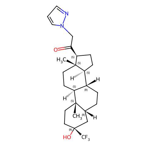 C[C@]12CC[C@](O)(C(F)(F)F)C[C@H]1CC[C@@H]1[C@@H]2CC[C@]2(C)[C@@H](C(=O)Cn3cccn3)CC[C@@H]12